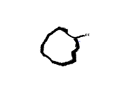 CC/C1=C/CCCCCCCC1